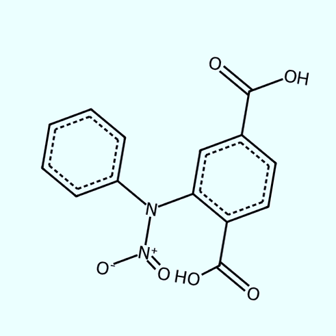 O=C(O)c1ccc(C(=O)O)c(N(c2ccccc2)[N+](=O)[O-])c1